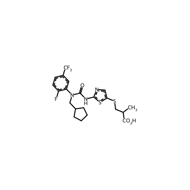 CC(CSc1cnc(NC(=O)N(CC2CCCC2)c2cc(C(F)(F)F)ccc2F)s1)C(=O)O